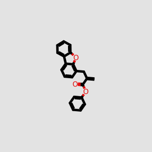 C=C(Cc1cccc2c1oc1ccccc12)C(=O)Oc1ccccc1